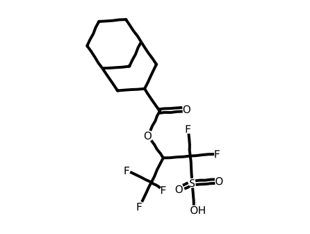 O=C(OC(C(F)(F)F)C(F)(F)S(=O)(=O)O)C1CC2CCCC(C2)C1